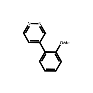 COc1ccccc1-c1[c]nncc1